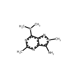 Cc1nc(N(C)C)c2nn(C)c(N)c2n1